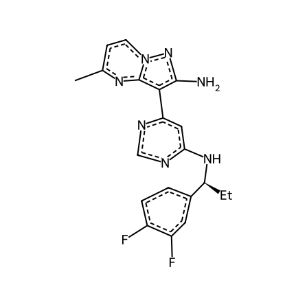 CC[C@H](Nc1cc(-c2c(N)nn3ccc(C)nc23)ncn1)c1ccc(F)c(F)c1